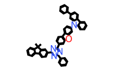 CC1(C)c2ccccc2-c2ccc(-c3nc(-c4ccccc4)nc(-c4ccc5c(c4)oc4cc(-n6c7ccccc7c7ccc(-c8ccccc8)cc76)ccc45)n3)cc21